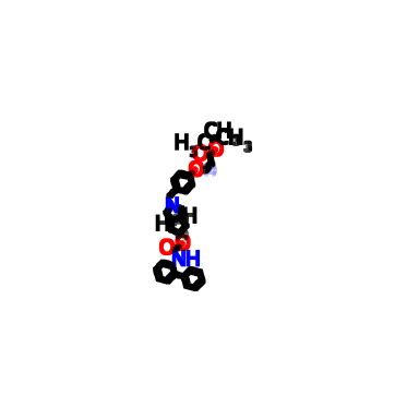 CC(C)(C)OC(=O)/C=C\Oc1ccc(CN2C[C@H]3C[C@@H](OC(=O)Nc4ccccc4-c4ccccc4)C[C@H]3C2)cc1